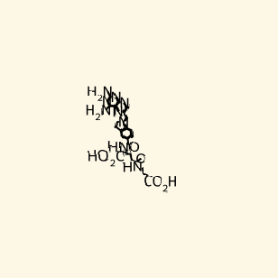 Nc1nc(N)c2nc(CN3CCc4cc(C(=O)N[C@@H](CCC(=O)NCCCC(=O)O)C(=O)O)ccc43)cnc2n1